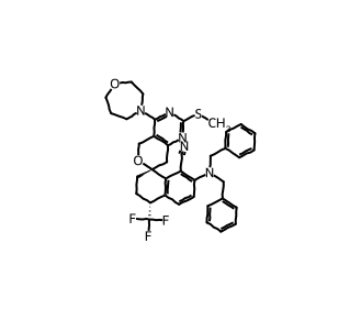 CSc1nc2c(c(N3CCCOCC3)n1)CO[C@]1(CC[C@@H](C(F)(F)F)c3ccc(N(Cc4ccccc4)Cc4ccccc4)c(C#N)c31)C2